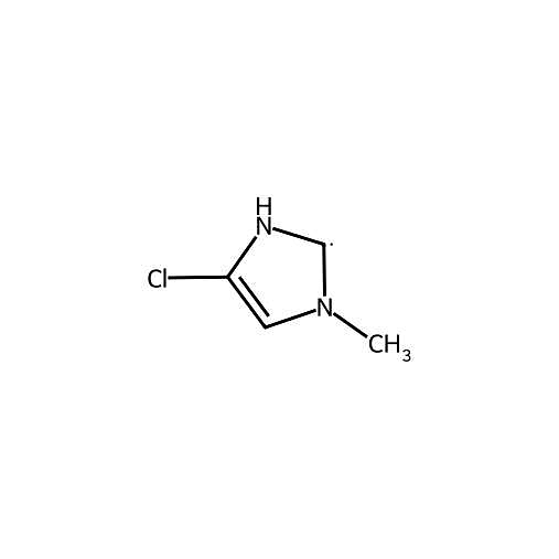 CN1[CH]NC(Cl)=C1